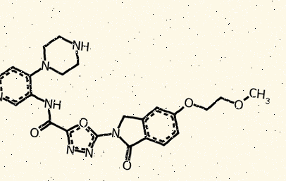 COCCOc1ccc2c(c1)CN(c1nnc(C(=O)Nc3cnccc3N3CCNCC3)o1)C2=O